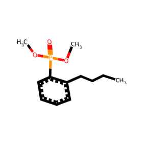 CCCCc1ccccc1P(=O)(OC)OC